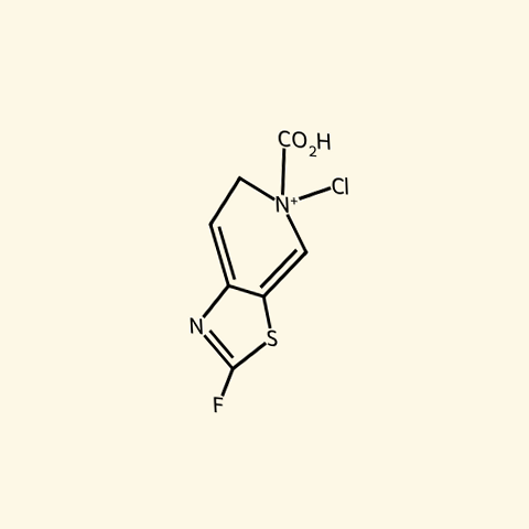 O=C(O)[N+]1(Cl)C=c2sc(F)nc2=CC1